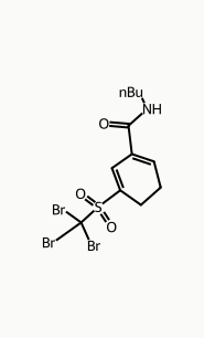 CCCCNC(=O)C1=CCCC(S(=O)(=O)C(Br)(Br)Br)=C1